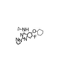 Fc1cc2nc(-n3cccn3)nc(NC3CC3)c2cc1OC1CCCCC1